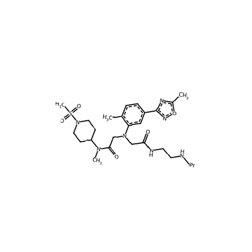 Cc1nc(-c2ccc(C)c(N(CC(=O)NCCNC(C)C)CC(=O)N(C)C3CCN(S(C)(=O)=O)CC3)c2)no1